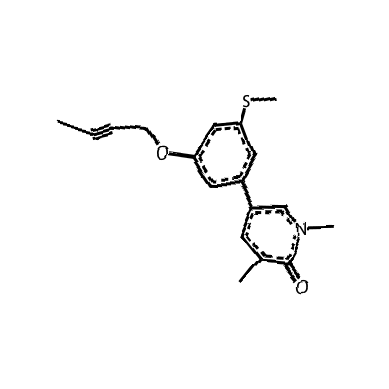 CC#CCOc1cc(SC)cc(-c2cc(C)c(=O)n(C)c2)c1